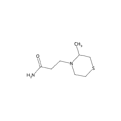 CC1CSCCN1CCC(N)=O